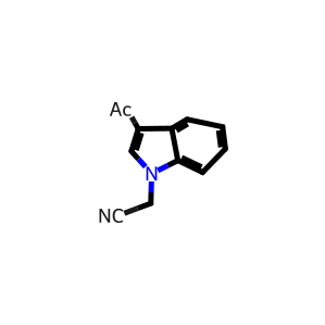 CC(=O)c1cn(CC#N)c2ccccc12